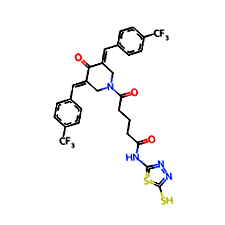 O=C(CCCC(=O)N1C/C(=C\c2ccc(C(F)(F)F)cc2)C(=O)/C(=C/c2ccc(C(F)(F)F)cc2)C1)Nc1nnc(S)s1